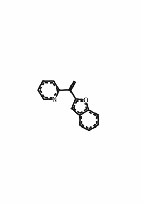 C=C(c1ccccn1)c1cc2ccccc2o1